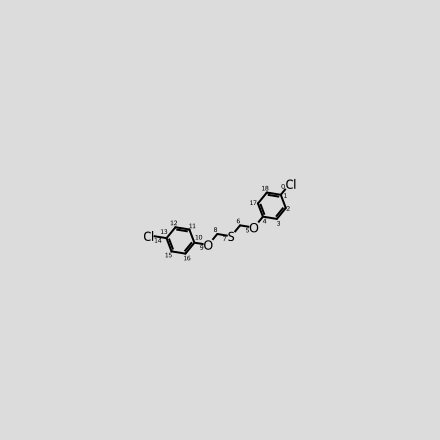 Clc1ccc(OCSCOc2ccc(Cl)cc2)cc1